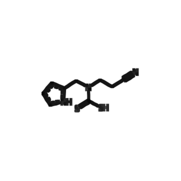 N#CCCN(Cc1ccc[nH]1)C(=S)S